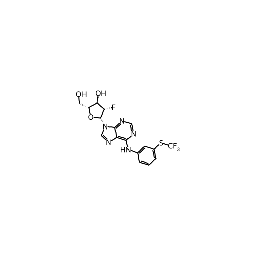 OC[C@H]1O[C@@H](n2cnc3c(Nc4cccc(SC(F)(F)F)c4)ncnc32)[C@@H](F)[C@@H]1O